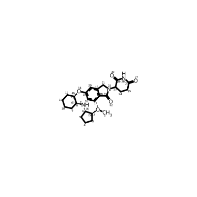 CO[C@H]1CCC[C@@H]1N[C@H]1CCCC[C@H]1Oc1ccc2c(c1)CN(C1CCC(=O)NC1=O)C2=O